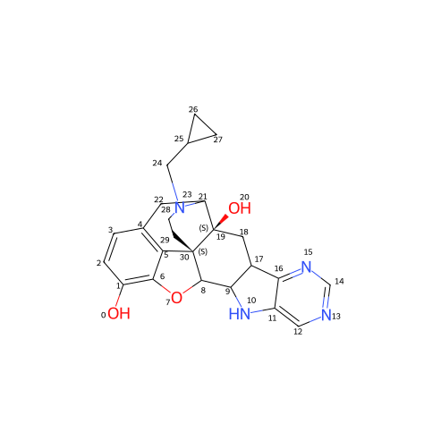 Oc1ccc2c3c1OC1C4Nc5cncnc5C4C[C@@]4(O)C(C2)N(CC2CC2)CC[C@]314